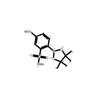 CNS(=O)(=O)c1cc(OC)ccc1B1OC(C)(C)C(C)(C)O1